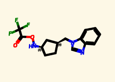 O=C(ON[C@@H]1CC[C@H](Cn2cnc3ccccc32)C1)C(F)(F)F